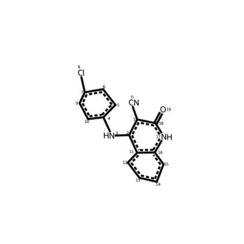 N#Cc1c(Nc2ccc(Cl)cc2)c2ccccc2[nH]c1=O